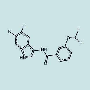 O=C(Nc1c[nH]c2cc(F)c(F)cc12)c1cccc(OC(F)F)c1